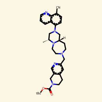 C[C@@H]1CN(c2ccc(C#N)c3ncccc23)C[C@@H]2CCN(Cc3cc4c(cn3)CN(C(=O)OC(C)(C)C)CC4)CCN21